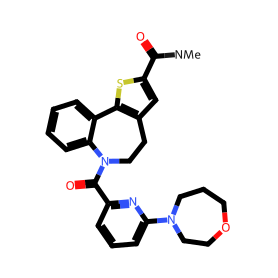 CNC(=O)c1cc2c(s1)-c1ccccc1N(C(=O)c1cccc(N3CCCOCC3)n1)CC2